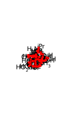 CC(C)C[C@@H](N)C(=O)NC1C(=O)N[C@@H](CC(N)=O)C(=O)N[C@H]2C(=O)NC3C(=O)N[C@H](C(=O)N[C@@H](C(=O)O)c4cc(O)cc(O)c4-c4cc3ccc4O)[C@H](O)c3ccc(c(Cl)c3)Oc3cc2cc(c3OC2OC(O)(CO)CC(O)C2OC2CC(C)(NCC(OCc3ccc(-c4ccc(Cl)cc4)cc3)C(=O)O)C(O)C(C)O2)Oc2ccc(cc2Cl)[C@H]1O